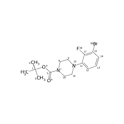 CC(C)(C)OC(=O)N1CCN(c2cccc(Br)c2F)CC1